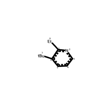 CCc1ncccc1C(C)(C)C